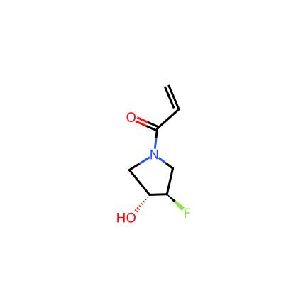 C=CC(=O)N1C[C@@H](O)[C@H](F)C1